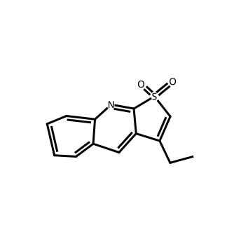 CCC1=CS(=O)(=O)c2nc3ccccc3cc21